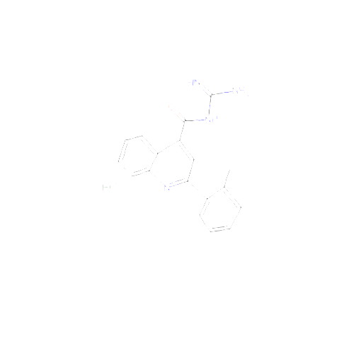 Cc1ccccc1-c1cc(C(=O)NC(=N)N)c2ccccc2n1.Cl